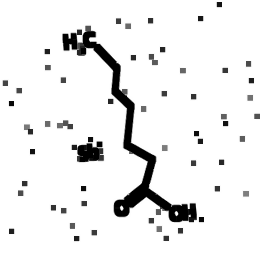 CCCCCCC(=O)O.[Sb]